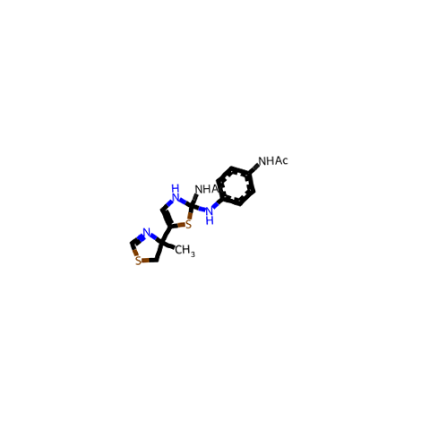 CC(=O)Nc1ccc(NC2(NC(C)=O)NC=C(C3(C)CSC=N3)S2)cc1